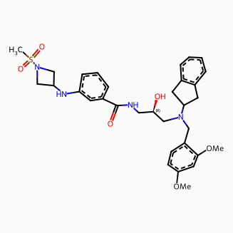 COc1ccc(CN(C[C@H](O)CNC(=O)c2cccc(NC3CN(S(C)(=O)=O)C3)c2)C2Cc3ccccc3C2)c(OC)c1